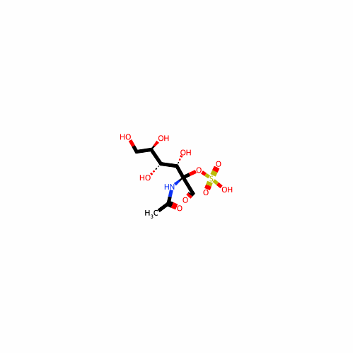 CC(=O)N[C@](C=O)(OS(=O)(=O)O)[C@@H](O)[C@H](O)[C@H](O)CO